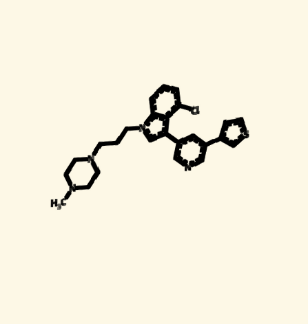 CN1CCN(CCCn2cc(-c3cncc(-c4ccsc4)c3)c3c(Cl)cccc32)CC1